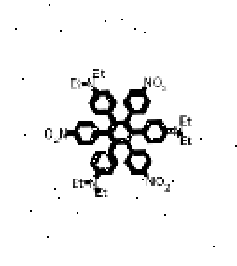 CCN(CC)c1ccc(-c2c(-c3ccc([N+](=O)[O-])cc3)c(-c3ccc(N(CC)CC)cc3)c(-c3ccc([N+](=O)[O-])cc3)c(-c3ccc(N(CC)CC)cc3)c2-c2ccc([N+](=O)[O-])cc2)cc1